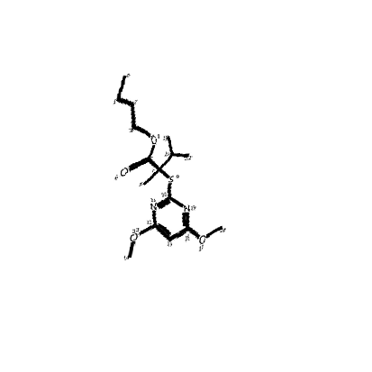 CCCCOC(=O)C(C)(Sc1nc(OC)cc(OC)n1)C(C)C